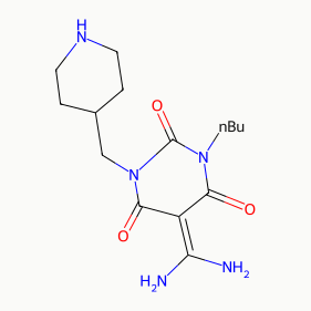 CCCCN1C(=O)C(=C(N)N)C(=O)N(CC2CCNCC2)C1=O